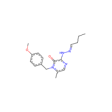 CCCC=NNc1ncc(C)n(Cc2ccc(OC)cc2)c1=O